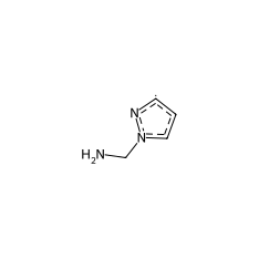 NCn1cc[c]n1